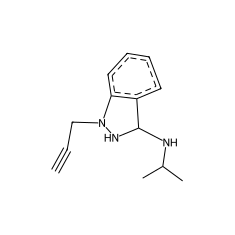 C#CCN1NC(NC(C)C)c2ccccc21